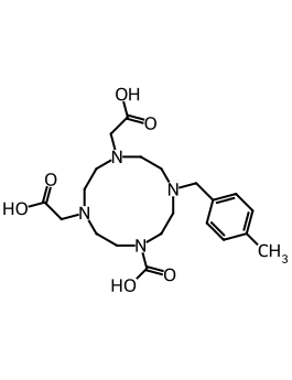 Cc1ccc(CN2CCN(CC(=O)O)CCN(CC(=O)O)CCN(C(=O)O)CC2)cc1